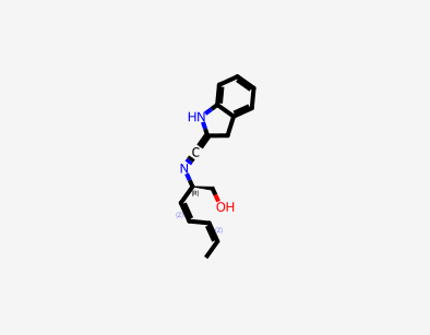 C/C=C\C=C/[C@H](CO)N=C=C1Cc2ccccc2N1